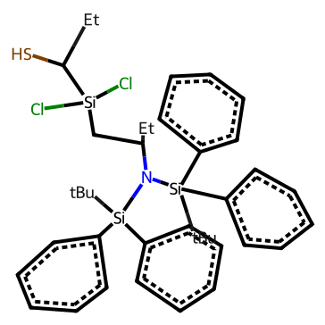 CCC(C[Si](Cl)(Cl)C(S)CC)N([Si](c1ccccc1)(c1ccccc1)C(C)(C)C)[Si](c1ccccc1)(c1ccccc1)C(C)(C)C